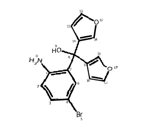 Nc1ccc(Br)cc1C(O)(c1ccoc1)c1ccoc1